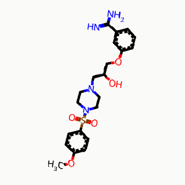 COc1ccc(S(=O)(=O)N2CCN(CC(O)COc3cccc(C(=N)N)c3)CC2)cc1